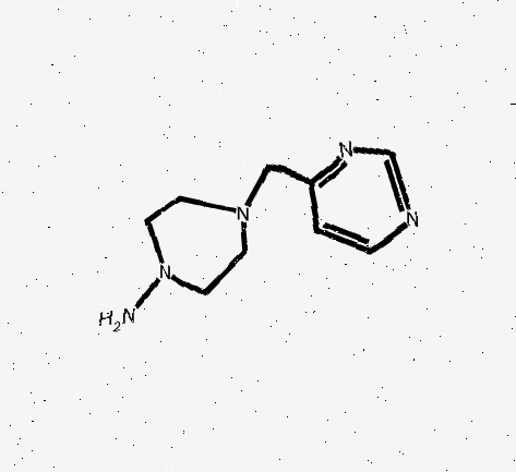 NN1CCN(Cc2ccncn2)CC1